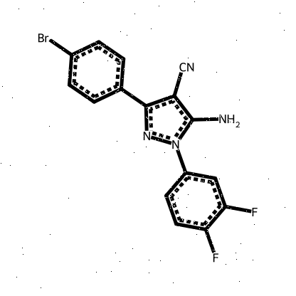 N#Cc1c(-c2ccc(Br)cc2)nn(-c2ccc(F)c(F)c2)c1N